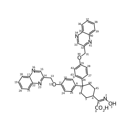 O=C(O)C(=NO)C1CCC(c2ccc(OCc3cnc4ccccc4n3)cc2)(c2ccc(OCc3cnc4ccccc4n3)cc2)CC1